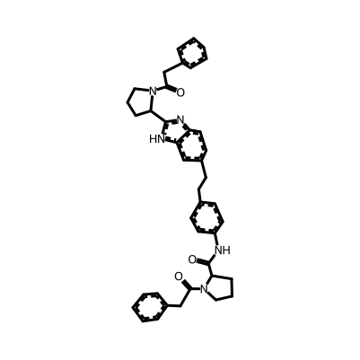 O=C(Nc1ccc(CCc2ccc3nc(C4CCCN4C(=O)Cc4ccccc4)[nH]c3c2)cc1)C1CCCN1C(=O)Cc1ccccc1